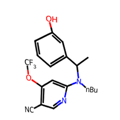 CCCCN(c1cc(OC(F)(F)F)c(C#N)cn1)C(C)c1cccc(O)c1